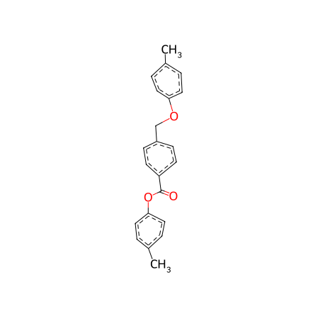 Cc1ccc(OCc2ccc(C(=O)Oc3ccc(C)cc3)cc2)cc1